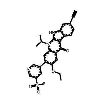 C#Cc1ccc2c(c1)[nH]c1c2c(=O)c2cc(OCC)c(-c3cncc(S(=O)(=O)F)c3)cc2n1C(C)C